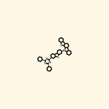 c1ccc(-c2nc(-c3ccccc3)nc(-c3ccc4c(c3)sc3cc(-n5c6ccccc6c6ccc7c8ccccc8sc7c65)ccc34)n2)cc1